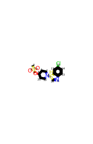 CS(=O)(=O)OC1CCN([SH]2C=Nc3ccc(Cl)cc32)CC1